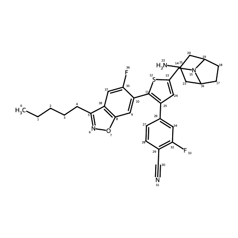 CCCCCc1noc2cc(-c3sc(CN4C5CCC4CC(N)C5)cc3-c3ccc(C#N)c(F)c3)c(F)cc12